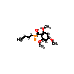 CCCCPC(=O)c1c(OC)cc(OC)cc1OC